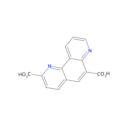 O=C(O)c1ccc2cc(C(=O)O)c3ncccc3c2n1